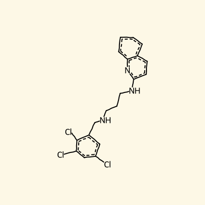 Clc1cc(Cl)c(Cl)c(CNCCCNc2ccc3ccccc3n2)c1